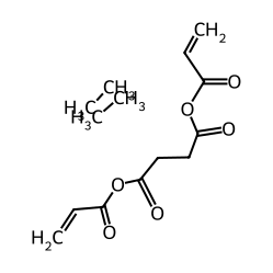 C=CC(=O)OC(=O)CCC(=O)OC(=O)C=C.CC.CC